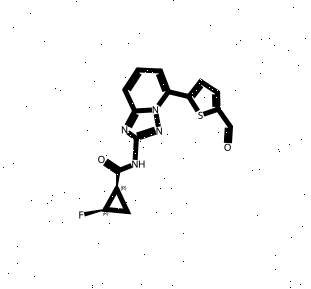 O=Cc1ccc(-c2cccc3nc(NC(=O)[C@H]4C[C@H]4F)nn23)s1